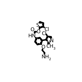 Cn1ncc(Cl)c1-c1cc(NC(=O)Oc2sccc2Cl)ccc1OCCN